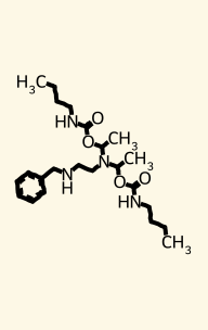 CCCCNC(=O)OC(C)N(CCNCc1ccccc1)C(C)OC(=O)NCCCC